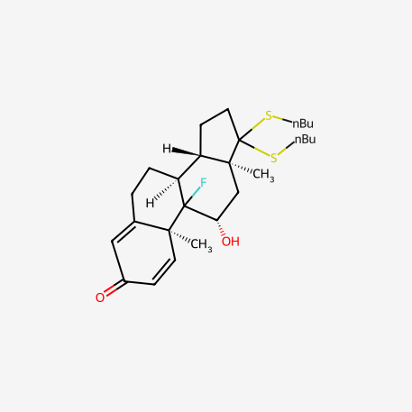 CCCCSC1(SCCCC)CC[C@H]2[C@@H]3CCC4=CC(=O)C=C[C@]4(C)C3(F)[C@@H](O)C[C@@]21C